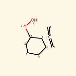 C=C=C.OOC1CCCCC1